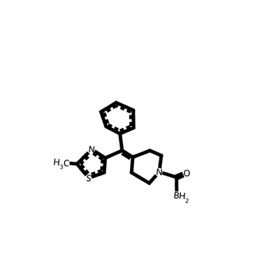 BC(=O)N1CCC(=C(c2ccccc2)c2csc(C)n2)CC1